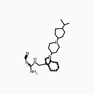 CC(C)C1CCC(N2CCC(n3cc(CN/C(N)=N\C#N)c4ccccc43)CC2)CC1